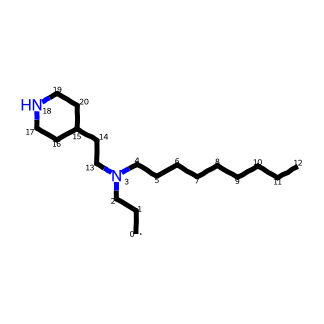 [CH2]CCN(CCCCCCCCC)CCC1CCNCC1